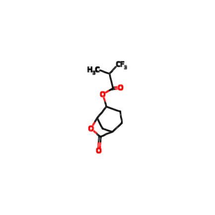 CC(C(=O)OC1CCC2CC1OC2=O)C(F)(F)F